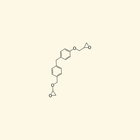 c1cc(Cc2ccc(OCC3CO3)cc2)ccc1COC1CO1